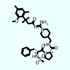 COc1cc(C)cc(C)c1C(C)(C)CC(=O)/N=C(\N)N1CCC(CNC(=O)[C@@H]2CCCN2C(=O)[C@@H](Cc2ccccc2)NS(C)(=O)=O)CC1